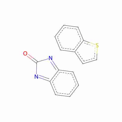 O=C1N=c2ccccc2=N1.c1ccc2sccc2c1